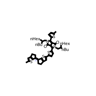 CCCCCCC(CCCC)CN1C(=O)C2=C(c3ccc(-c4cc5c(s4)/C(=C4\CCc6cc(C)sc64)CC5)s3)N(CC(CCCC)CCCCCC)C(=O)C2=C1c1ccc(C)s1